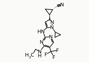 CCNc1nc(Nc2cc([C@H]3C[C@@H]3C#N)nn2C2CC2)ncc1C(F)(F)F